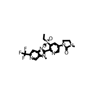 CCS(=O)(=O)c1cc(N2CCN(C)C2=O)cnc1-c1nc2cc(C(F)(F)F)ncc2n1C